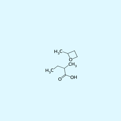 CC1CCO1.CCC(C)C(=O)O